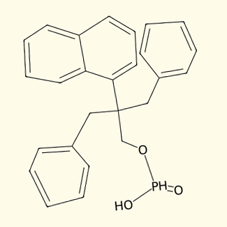 O=[PH](O)OCC(Cc1ccccc1)(Cc1ccccc1)c1cccc2ccccc12